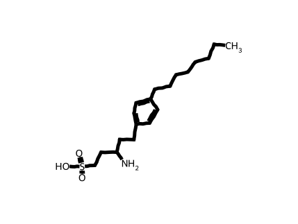 CCCCCCCCc1ccc(CCC(N)CCS(=O)(=O)O)cc1